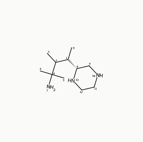 CC(C(C)C(C)(C)N)[C@@H]1CNCCN1